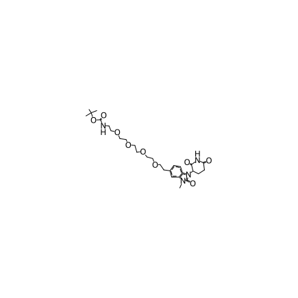 Cn1c(=O)n(C2CCC(=O)NC2=O)c2ccc(CCOCCOCCOCCOCCNC(=O)OC(C)(C)C)cc21